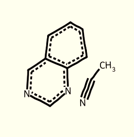 CC#N.c1ccc2ncncc2c1